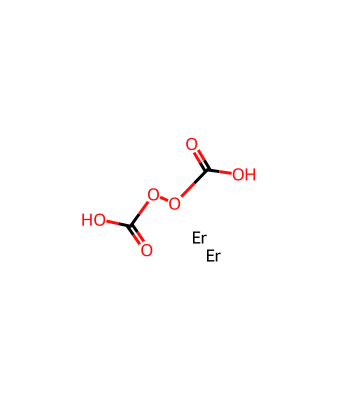 O=C(O)OOC(=O)O.[Er].[Er]